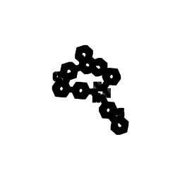 c1ccc(-c2nc(-c3ccc(-c4cccc5oc6ccc(-c7cc8ccccc8c8ccccc78)cc6c45)cc3)nc(-c3ccc4c(c3)sc3ccccc34)n2)cc1